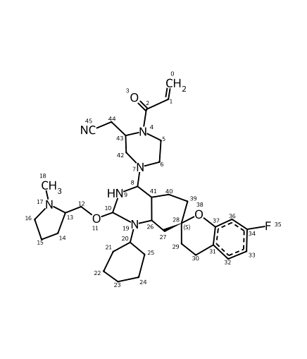 C=CC(=O)N1CCN(C2NC(OCC3CCCN3C)N(C3CCCCC3)C3C[C@@]4(CCc5ccc(F)cc5O4)CCC23)CC1CC#N